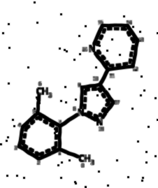 Cc1cccc(C)c1-n1cc(-c2ccccn2)cn1